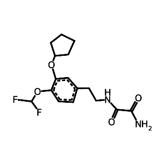 NC(=O)C(=O)NCCc1ccc(OC(F)F)c(OC2CCCC2)c1